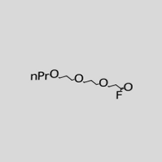 CCCOCCCOCCCOCCC(=O)F